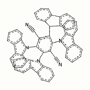 N#Cc1c(C2c3ccccc3-c3ccccc32)c(-n2c3ccccc3c3ccccc32)c(C#N)c(-n2c3ccccc3c3ccccc32)c1-n1c2ccccc2c2ccccc21